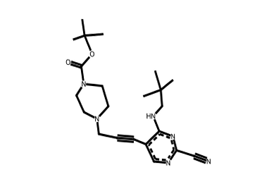 CC(C)(C)CNc1nc(C#N)ncc1C#CCN1CCN(C(=O)OC(C)(C)C)CC1